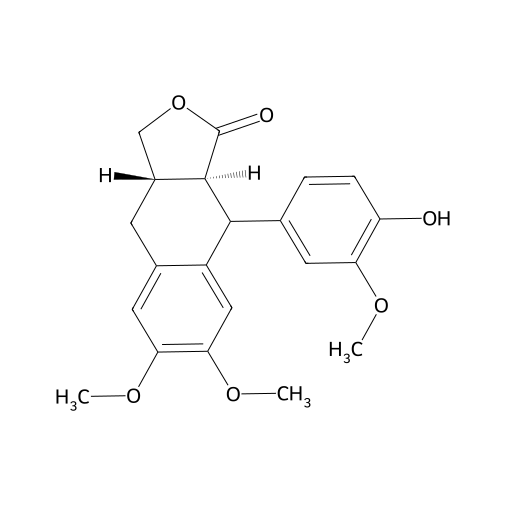 COc1cc(C2c3cc(OC)c(OC)cc3C[C@@H]3COC(=O)[C@@H]23)ccc1O